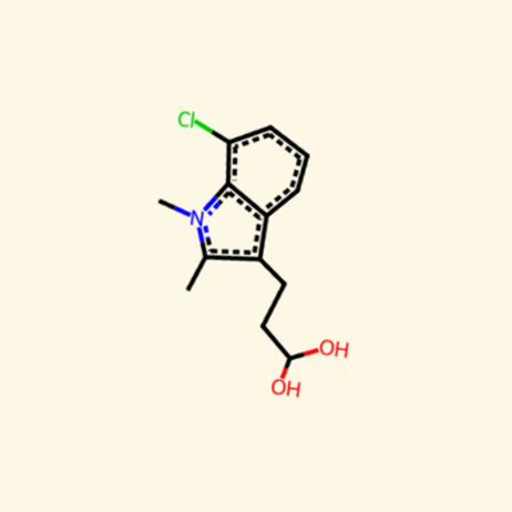 Cc1c(CCC(O)O)c2cccc(Cl)c2n1C